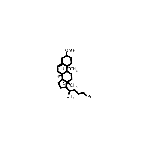 CO[C@H]1CC[C@@]2(C)C(=CC[C@H]3[C@@H]4CCC(C(C)CCCC(C)C)C4(C)CC[C@@H]32)C1